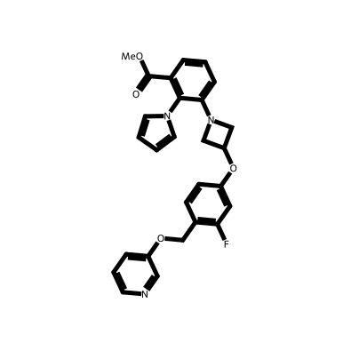 COC(=O)c1cccc(N2CC(Oc3ccc(COc4cccnc4)c(F)c3)C2)c1-n1cccc1